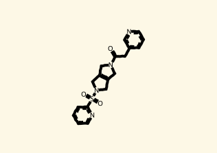 O=C(Cc1cccnc1)N1CC2=C(C1)CN(S(=O)(=O)c1ccccn1)C2